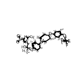 Cc1nc([N+](=O)[O-])cn1C[C@@](C)(O)Oc1ccc(N2CCC(Oc3ccc(OC(F)(F)F)cc3)CC2)cc1